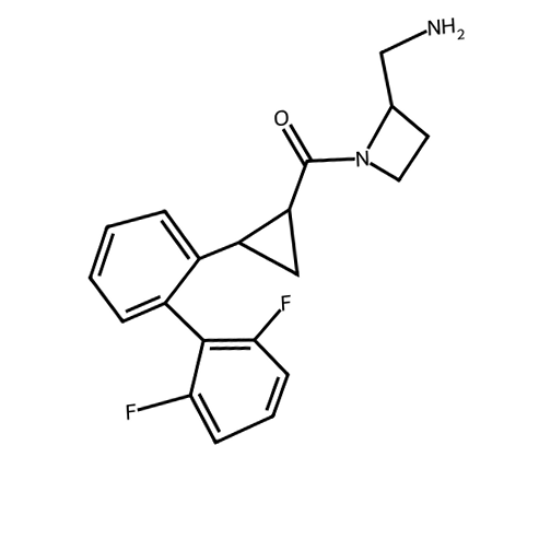 NCC1CCN1C(=O)C1CC1c1ccccc1-c1c(F)cccc1F